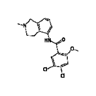 COc1cc(Cl)c(Cl)cc1C(=O)Nc1cccc2c1CCN(C)C2